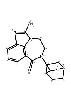 Cc1nc2cccc3c2n1CCN(C1CN2CCC1CC2)C3=O